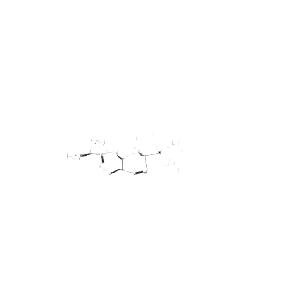 CC(C)(C)c1ccc2cnc(C(=N)N)nc2n1